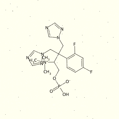 C[N+](C)(C)C(COP(=O)([O-])O)C(Cn1cncn1)(Cn1cncn1)c1ccc(F)cc1F